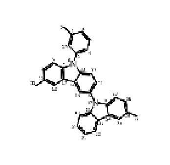 Cc1cccc(-n2c3ccc(C)cc3c3cc(-n4c5ccccc5c5cc(C)ccc54)ccc32)c1